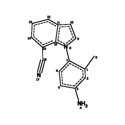 Cc1cc(N)ccc1-n1ccc2cccc(C#N)c21